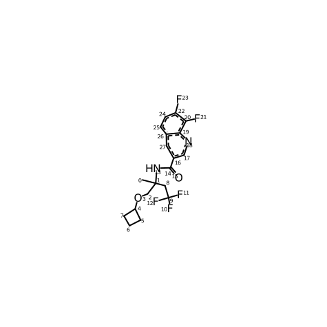 CC(COC1CCC1)(CC(F)(F)F)NC(=O)c1cnc2c(F)c(F)ccc2c1